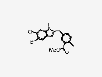 COC(=O)c1cc(Cc2cc3cc(Br)c(Cl)cc3[nH]2)ccc1C